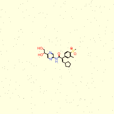 Cc1cc(/C(=C\C2CCCC2)C(=O)Nc2cnc([C@@H](O)CO)cn2)ccc1S(C)(=O)=O